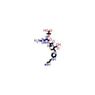 CNCCCNc1cc[n+](CC2=C(C(=O)O)N3C(=O)[C@@H](NC(=O)/C(=N\OC(C)(C)C(=O)O)c4nsc(N)n4)[C@H]3SC2)cc1